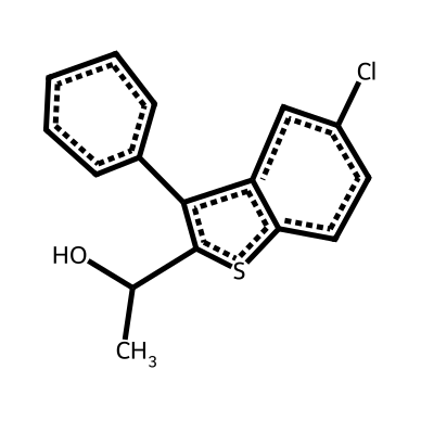 CC(O)c1sc2ccc(Cl)cc2c1-c1ccccc1